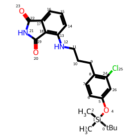 CC(C)(C)[Si](C)(C)Oc1ccc(CCCNc2cccc3c2C(=O)NC3=O)c(Cl)c1